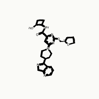 O=C(NC1CCC1O)c1cc(N2CCC(C3=NCc4ncccc43)CC2)nc(OC[C@H]2CCCO2)n1